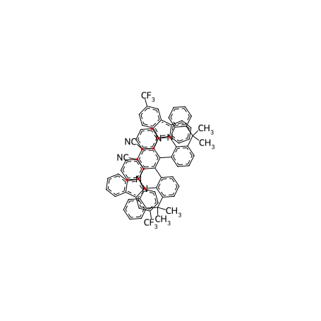 CC1(C)c2ccccc2N(c2ccccc2)c2c(-c3c(-c4cccc5c4N(c4ccccc4)c4ccccc4C5(C)C)c(-n4c5ccccc5c5cc(C(F)(F)F)ccc54)c(C#N)c(C#N)c3-n3c4ccccc4c4cc(C(F)(F)F)ccc43)cccc21